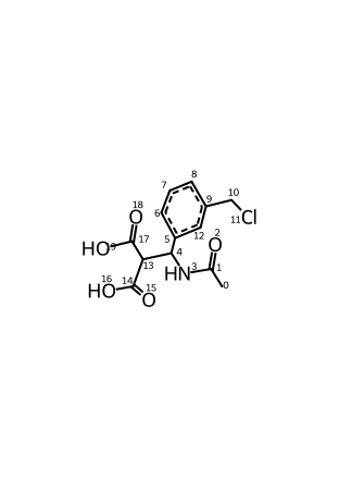 CC(=O)NC(c1cccc(CCl)c1)C(C(=O)O)C(=O)O